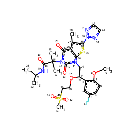 COc1ccc(F)cc1[C@H](Cn1c(=O)n(C(C)(C)C(=O)NC(C)C)c(=O)c2c(C)c(-n3nccn3)sc21)OCCS(C)(=O)=O